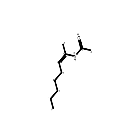 CCCCCC=C(C)NC(C)=O